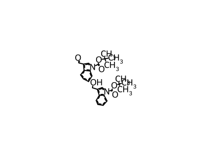 CC(C)(C)OC(=O)n1cc(C=O)c2ccccc21.CC(C)(C)OC(=O)n1cc(CO)c2ccccc21